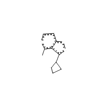 Clc1nccc2[nH]nc(C3CCC3)c12